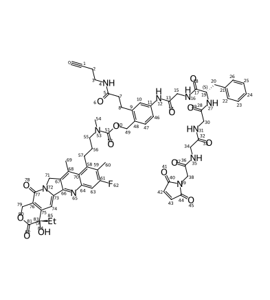 C#CCCNC(=O)CCc1cc(NC(=O)CNC(=O)[C@H](Cc2ccccc2)NC(=O)CNC(=O)CNC(=O)CN2C(=O)C=CC2=O)ccc1COC(=O)N(C)CCCc1c(C)c(F)cc2nc3c(c(C)c12)Cn1c-3cc2c(c1=O)COC(=O)[C@]2(O)CC